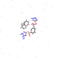 O=C(Oc1c[nH]nn1)c1cccc(C(=O)Oc2c[nH]nn2)c1.[Cd].c1ccc2ccccc2c1